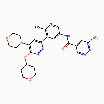 Cc1ncc(NC(=O)c2cnnc(C(F)(F)F)c2)cc1-c1cc(N2CCOCC2)c(OC2CCOCC2)nn1